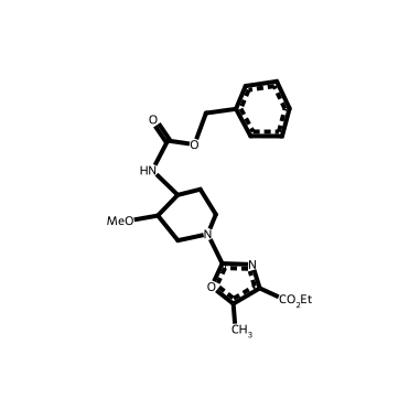 CCOC(=O)c1nc(N2CCC(NC(=O)OCc3ccccc3)C(OC)C2)oc1C